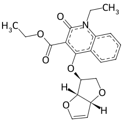 CCOC(=O)c1c(O[C@H]2CO[C@@H]3C=CO[C@H]23)c2ccccc2n(CC)c1=O